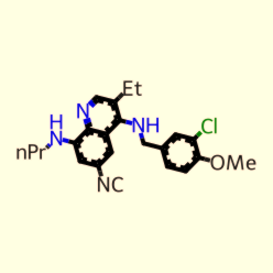 [C-]#[N+]c1cc(NCCC)c2ncc(CC)c(NCc3ccc(OC)c(Cl)c3)c2c1